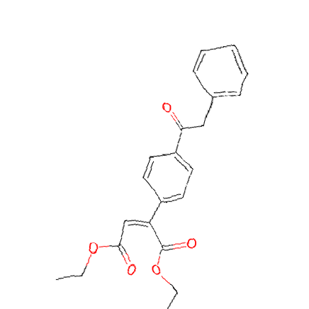 CCOC(=O)C=C(C(=O)OCC)c1ccc(C(=O)Cc2ccccc2)cc1